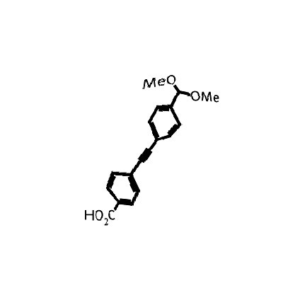 COC(OC)c1ccc(C#Cc2ccc(C(=O)O)cc2)cc1